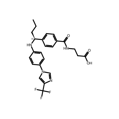 CCC[C@H](Nc1ccc(-n2cnc(C(F)(F)F)c2)cc1)c1ccc(C(=O)NCCC(=O)O)cc1